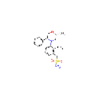 Cc1c(CS(N)(=O)=O)cccc1N1C[C@@H](C)OCC1c1ccccc1